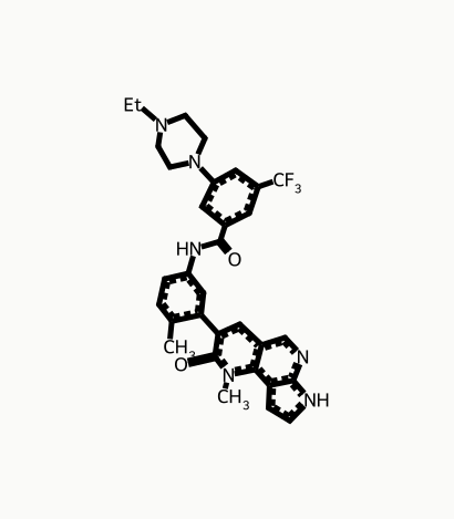 CCN1CCN(c2cc(C(=O)Nc3ccc(C)c(-c4cc5cnc6[nH]ccc6c5n(C)c4=O)c3)cc(C(F)(F)F)c2)CC1